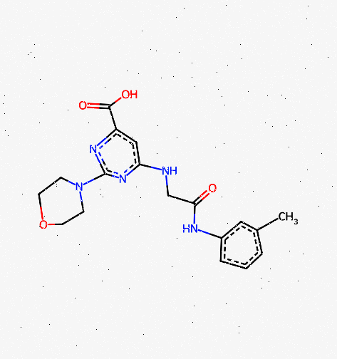 Cc1cccc(NC(=O)CNc2cc(C(=O)O)nc(N3CCOCC3)n2)c1